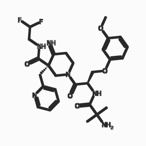 COc1cccc(OC[C@@H](NC(=O)C(C)(C)N)C(=O)N2CCC(=N)[C@](Cc3ccccn3)(C(=O)NCC(F)F)C2)c1